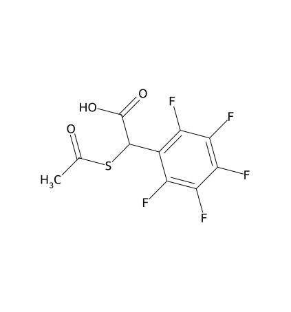 CC(=O)SC(C(=O)O)c1c(F)c(F)c(F)c(F)c1F